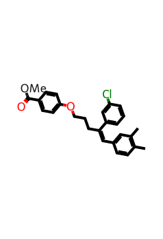 COC(=O)c1ccc(OCCCC(=Cc2ccc(C)c(C)c2)c2cccc(Cl)c2)cc1